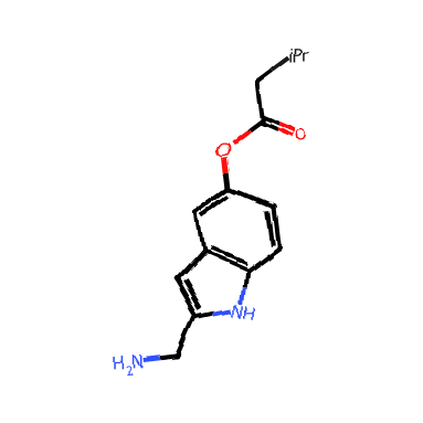 CC(C)CC(=O)Oc1ccc2[nH]c(CN)cc2c1